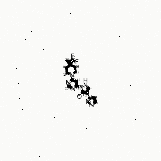 O=c1c(-n2ccnn2)c[nH]n1-c1cc(N2CCC3(CC2)CC3(F)F)ncn1